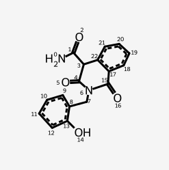 NC(=O)C1C(=O)N(Cc2ccccc2O)C(=O)c2ccccc21